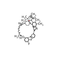 COC(=O)[C@@H](OC(C)(C)C)c1c(C)c(C)c2nc3cn2c1N1CCC(C)(CC1)OCCCC[C@H](C)Oc1ccc(F)c(F)c1-c1cccc-3c1